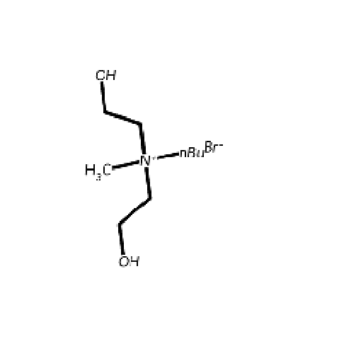 CCCC[N+](C)(CCO)CCO.[Br-]